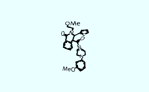 COCCN1C(=O)c2ccccc2C(C(=O)N2CCN(c3cccc(OC)c3)CC2)C1c1cccs1